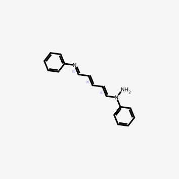 NN(/C=C/C=C/C=N/c1ccccc1)c1ccccc1